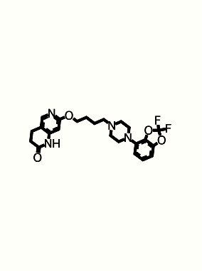 O=C1CCc2cnc(OCCCCN3CCN(c4cccc5c4OC(F)(F)O5)CC3)cc2N1